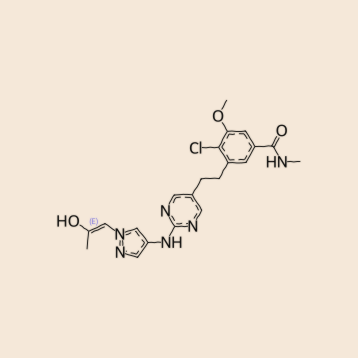 CNC(=O)c1cc(CCc2cnc(Nc3cnn(/C=C(\C)O)c3)nc2)c(Cl)c(OC)c1